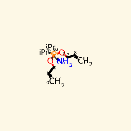 C=CCOP(N)(OCC=C)(C(C)C)C(C)C